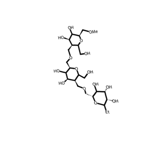 CCC1O[C@H](COC[C@@H]2C(CO)O[C@H](COC[C@@H]3C(CO)O[C@H](COC)C(O)[C@@H]3O)C(O)[C@@H]2O)C(O)[C@H](O)[C@@H]1O